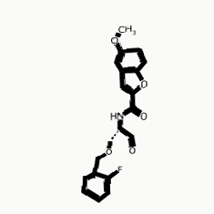 COc1ccc2oc(C(=O)N[C@H](C=O)COCc3ccccc3F)cc2c1